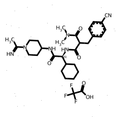 CC(=N)N1CCC(NC(=O)[C@@H](NC(=O)C(Cc2ccc(C#N)cc2)C(=O)N(C)C)C2CCCCC2)CC1.O=C(O)C(F)(F)F